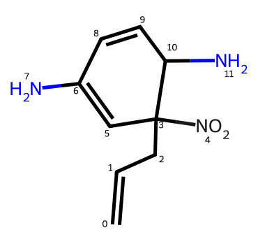 C=CCC1([N+](=O)[O-])C=C(N)C=CC1N